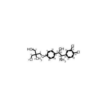 CC(CO)(CCl)COc1ccc([C@@H](O)[C@@H](N)c2ccc(Cl)c(Cl)c2)cc1